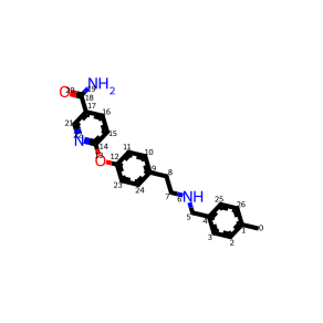 Cc1ccc(CNCCc2ccc(Oc3ccc(C(N)=O)cn3)cc2)cc1